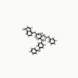 O=C(Cc1cccc2[nH]ccc12)NC(COCc1ccccc1)C(=O)Nc1ccc(Oc2ccccc2)cc1